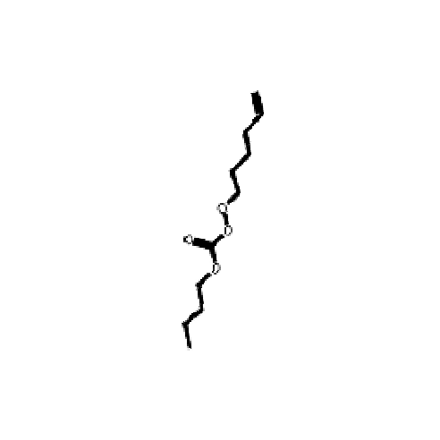 C=CCCCCOOC(=O)OCCCC